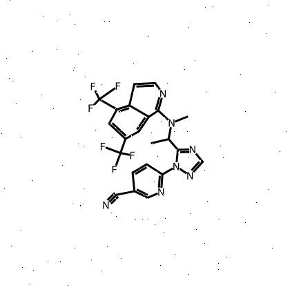 CC(c1ncnn1-c1ccc(C#N)cn1)N(C)c1nccc2c(C(F)(F)F)cc(C(F)(F)F)cc12